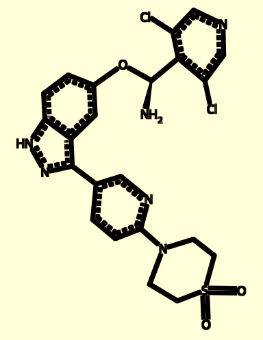 N[C@@H](Oc1ccc2[nH]nc(-c3ccc(N4CCS(=O)(=O)CC4)nc3)c2c1)c1c(Cl)cncc1Cl